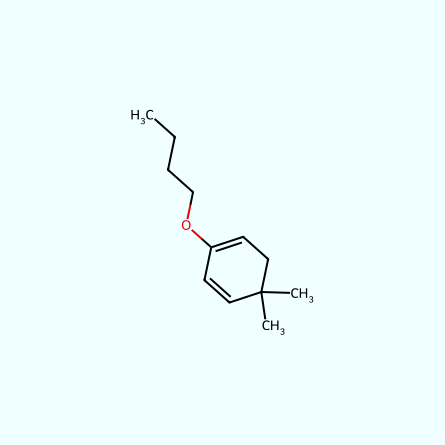 CCCCOC1=CCC(C)(C)C=C1